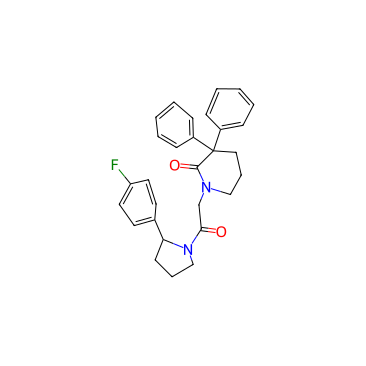 O=C(CN1CCCC(c2ccccc2)(c2ccccc2)C1=O)N1CCCC1c1ccc(F)cc1